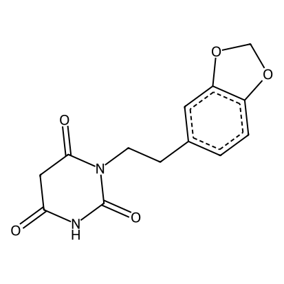 O=C1CC(=O)N(CCc2ccc3c(c2)OCO3)C(=O)N1